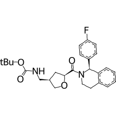 CC(C)(C)OC(=O)NC[C@@H]1CO[C@H](C(=O)N2CCc3ccccc3[C@@H]2c2ccc(F)cc2)C1